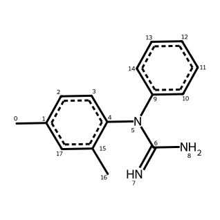 Cc1ccc(N(C(=N)N)c2ccccc2)c(C)c1